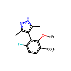 CCCOc1c(C(=O)O)ccc(F)c1-c1c(C)n[nH]c1C